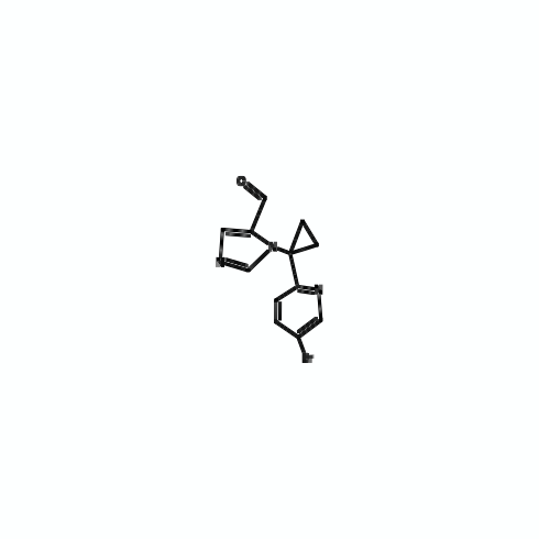 O=Cc1cncn1C1(c2ccc(Br)cn2)CC1